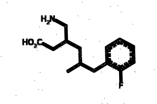 CC(Cc1ccccc1F)CC(CN)CC(=O)O